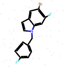 Fc1ccc(Cn2ccc3cc(Br)c(F)cc32)cc1